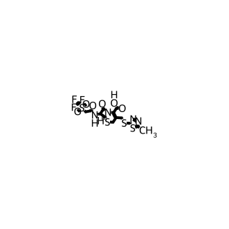 Cc1nnc(SCC2=C(C(=O)O)N3C(=O)C(NC(=O)CS(=O)(=O)C(F)(F)F)[C@@H]3SC2)s1